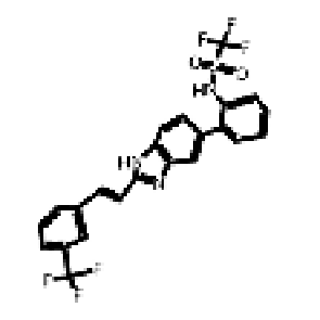 O=S(=O)(Nc1ccccc1-c1ccc2[nH]c(C=Cc3cccc(C(F)(F)F)c3)nc2c1)C(F)(F)F